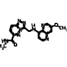 CNC(=O)c1ccc2nnc(CNc3ccnc4cc(OC)cnc34)n2n1